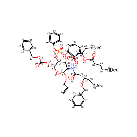 C=CCO[C@H]1O[C@H](COC(=O)OCc2ccccc2)[C@@H](OP(=O)(Oc2ccccc2)Oc2ccccc2)[C@H](OC(=O)C[C@@H](CCCCCCCCCCC)OC(=O)CCCCCCCCCCCCC)[C@H]1NC(=O)C[C@H](CCCCCCCCCCC)OCc1ccccc1